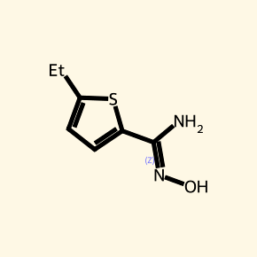 CCc1ccc(/C(N)=N/O)s1